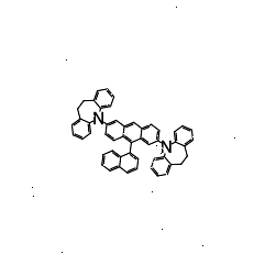 c1ccc2c(c1)CCc1ccccc1N2c1ccc2c(-c3cccc4ccccc34)c3cc(N4c5ccccc5CCc5ccccc54)ccc3cc2c1